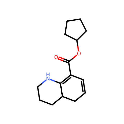 O=C(OC1CCCC1)C1=C2NCCCC2CC=C1